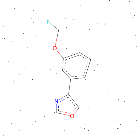 FCOc1cccc(-c2co[c]n2)c1